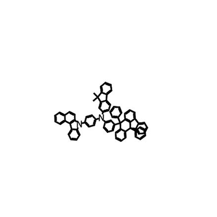 CC1(C)c2ccccc2-c2ccc(N(c3ccc(-n4c5ccccc5c5c6ccccc6ccc54)cc3)c3cccc(C4(c5ccccc5)c5ccccc5C5(c6ccccc6)c6ccccc6-c6cccc4c65)c3)cc21